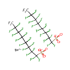 O=S(=O)([O-])C(F)(F)C(F)(F)C(F)(F)C(F)(F)C(F)(F)C(F)(F)C(F)(F)C(F)(F)F.O=S(=O)([O-])C(F)(F)C(F)(F)C(F)(F)C(F)(F)C(F)(F)C(F)(F)C(F)(F)C(F)(F)F.[Ba+2]